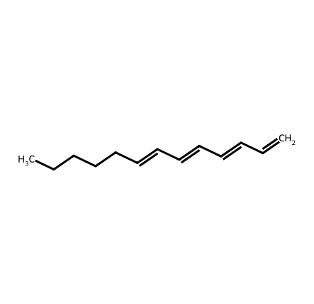 C=CC=CC=CC=CCCCCC